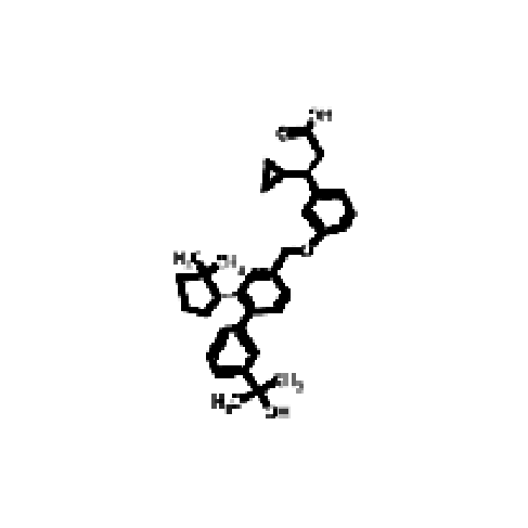 CC(C)(O)c1cccc(-c2ccc(COc3cccc([C@H](CC(=O)O)C4CC4)c3)cc2[C@@H]2CCCC2(C)C)c1